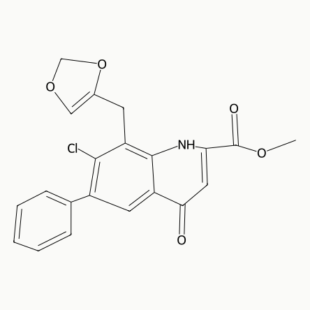 COC(=O)c1cc(=O)c2cc(-c3ccccc3)c(Cl)c(CC3=COCO3)c2[nH]1